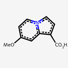 COc1ccn2ccc(C(=O)O)c2c1